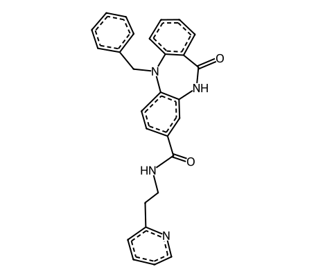 O=C(NCCc1ccccn1)c1ccc2c(c1)NC(=O)c1ccccc1N2Cc1ccccc1